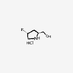 Cl.OC[C@@H]1C[C@@H](F)CN1